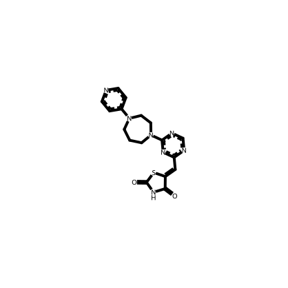 O=C1NC(=O)C(=Cc2ncnc(N3CCCN(c4ccncc4)CC3)n2)S1